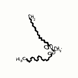 [CH2][C@H](COC(=O)CCCCCCCCCCCCCCCCC)OC(=O)CC/C=C\C/C=C\C/C=C\C/C=C\C/C=C\C/C=C\CC